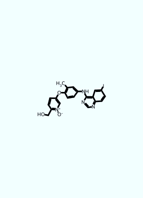 Cc1cc(Nc2ncnc3ccc(I)cc23)ccc1Oc1ccc(CO)[n+]([O-])c1